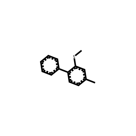 CSc1cc(C)ccc1-c1ccccc1